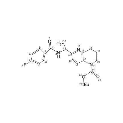 CC(NC(=O)c1ccc(F)cc1)c1ccc2c(n1)CCCN2C(=O)OC(C)(C)C